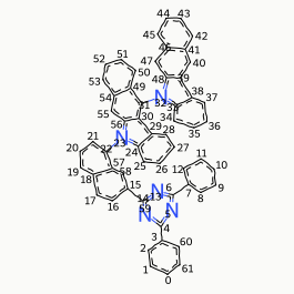 c1ccc(-c2nc(-c3ccccc3)nc(-c3ccc4cccc(-n5c6ccccc6c6c(-n7c8ccccc8c8cc9ccccc9cc87)c7ccccc7cc65)c4c3)n2)cc1